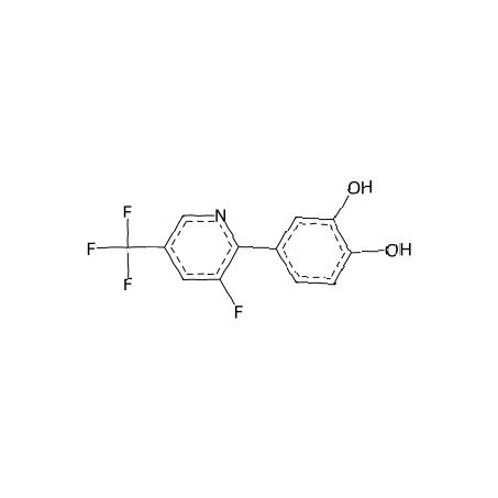 Oc1ccc(-c2ncc(C(F)(F)F)cc2F)cc1O